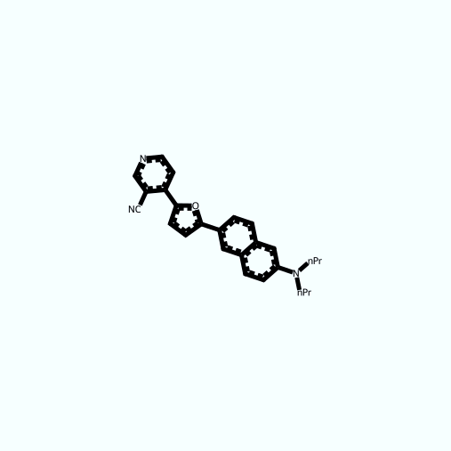 CCCN(CCC)c1ccc2cc(-c3ccc(-c4ccncc4C#N)o3)ccc2c1